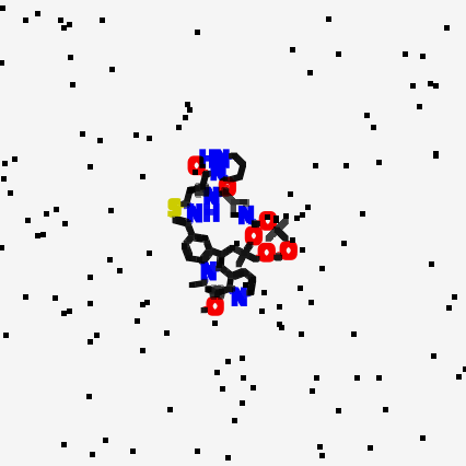 CCn1c(-c2cccnc2[C@H](C)OC)c(CC(C)(C)COC=O)c2cc(-c3csc(C[C@H](NC(=O)C4CN(C(=O)OC(C)(C)C)C4)C(=O)N4CCCCN4)n3)ccc21